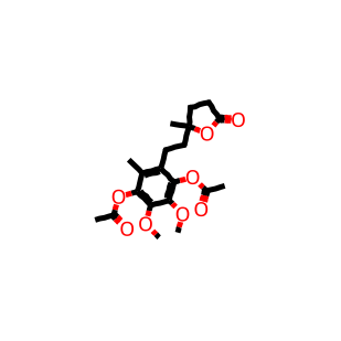 COc1c(OC(C)=O)c(C)c(CCC2(C)CCC(=O)O2)c(OC(C)=O)c1OC